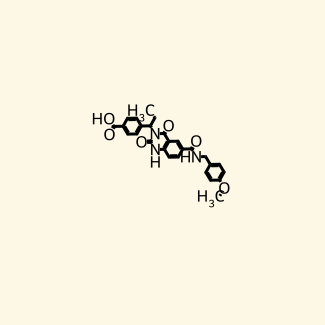 CCC(c1ccc(C(=O)O)cc1)n1c(=O)[nH]c2ccc(C(=O)NCc3ccc(OC)cc3)cc2c1=O